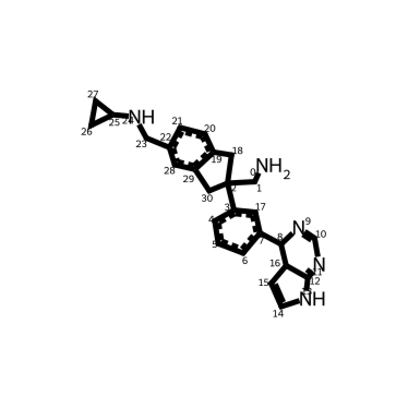 NCC1(c2cccc(C3N=CN=C4NC=CC43)c2)Cc2ccc(CNC3CC3)cc2C1